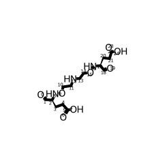 O=C[C@H](CCC(=O)O)NOCCNCCON[C@H](C=O)CCC(=O)O